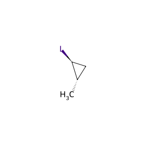 C[C@H]1C[C@@H]1I